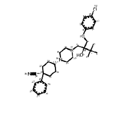 CC(C)(C)C(O)(COc1ccc(Cl)cc1)CN1CCN([C@H]2CC[C@](C#N)(c3ccccc3)CC2)CC1